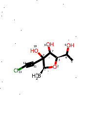 B[C@@H]1O[C@H](C(C)O)C(O)C1(O)C#CCl